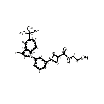 Cc1cn(-c2cccc(N3CC(C(=O)NCCO)C3)c2)c2ccc(C(F)(F)F)cc12